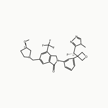 CO[C@@H]1CCN(Cc2cc3c(c(C(F)(F)F)c2)CN(c2cccc(C4([C@H](F)c5nncn5C)COC4)c2)C3=O)C1